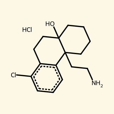 Cl.NCCC12CCCCC1(O)CCc1c(Cl)cccc12